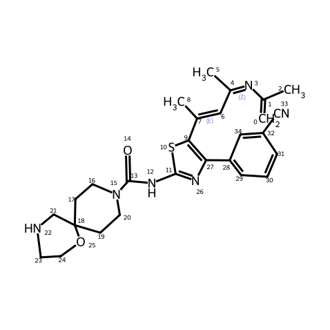 C=C(C)/N=C(C)\C=C(/C)c1sc(NC(=O)N2CCC3(CC2)CNCCO3)nc1-c1cccc(C#N)c1